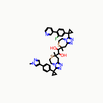 Cn1cc(-c2ccc(C3(c4nnc5n4CCSC(C)(C(O)C(O)C4(C)Cc6nnc(C7(c8ccc(-c9cccnc9)c(F)c8)CC7)n6CCS4)C5)CC3)cc2)cn1